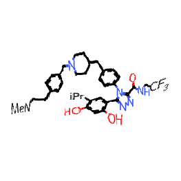 CNCCc1ccc(CN2CCC(Cc3ccc(-n4c(C(=O)NCC(F)(F)F)nnc4-c4cc(C(C)C)c(O)cc4O)cc3)CC2)cc1